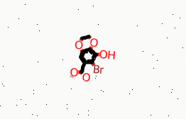 COC(=O)c1cc2c(c(O)c1Br)OCCO2